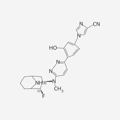 CN(c1ccc(-c2ccc(-n3cnc(C#N)c3)cc2O)nn1)[C@@H]1CC2CCCC(N2)[C@@H]1F